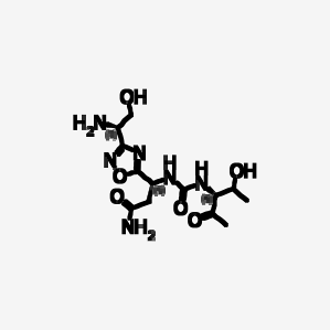 CC(=O)[C@@H](NC(=O)N[C@@H](CC(N)=O)c1nc([C@@H](N)CO)no1)C(C)O